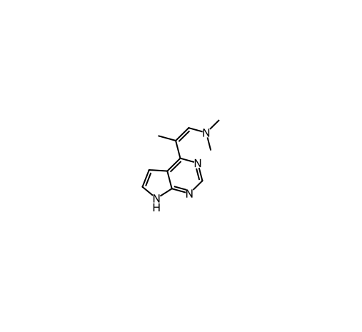 C/C(=C/N(C)C)c1ncnc2[nH]ccc12